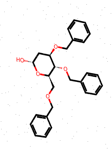 O[C@@H]1C[C@@H](OCc2ccccc2)[C@H](OCc2ccccc2)[C@@H](COCc2ccccc2)O1